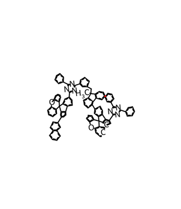 CC1(Cc2cccc(-c3nc(-c4ccccc4)nc(-c4ccc5c(c4)C4(c6ccccc6Oc6ccccc64)c4cc(-c6ccc7ccccc7c6)ccc4-5)n3)c2)c2ccccc2-c2c(-c3ccc4c(c3)C3(c5ccccc5Oc5ccccc53)c3cccc(-c5nc(-c6ccccc6)nc(-c6ccccc6)n5)c3-4)cccc21